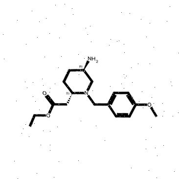 CCOC(=O)C[C@@H]1CC[C@@H](N)CN1Cc1ccc(OC)cc1